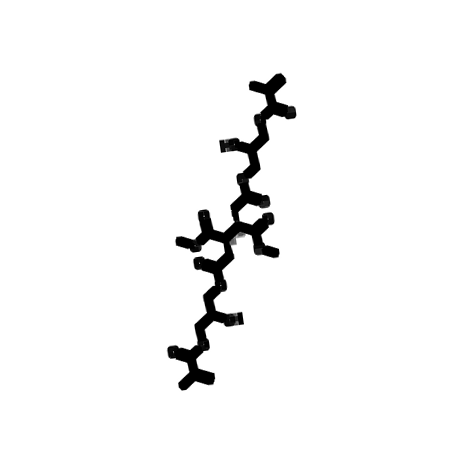 C=C(C)C(=O)OCC(O)COC(=O)C[C@H](C(=O)OC)[C@@H](CC(=O)OCC(O)COC(=O)C(=C)C)C(=O)OC